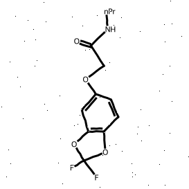 CCCNC(=O)COc1ccc2c(c1)OC(F)(F)O2